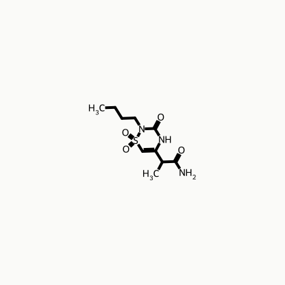 CCCCN1C(=O)NC(C(C)C(N)=O)=CS1(=O)=O